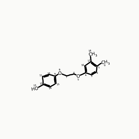 Cc1ccc(OCCOc2ccc(O)cc2)cc1C